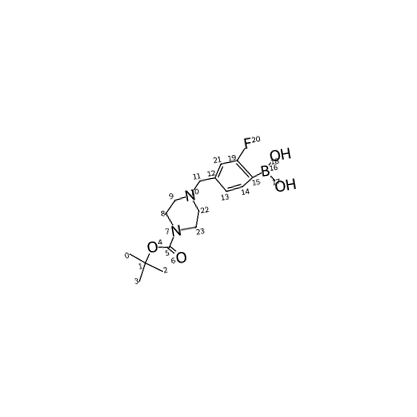 CC(C)(C)OC(=O)N1CCN(Cc2ccc(B(O)O)c(F)c2)CC1